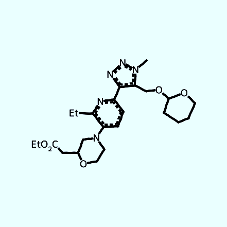 CCOC(=O)CC1CN(c2ccc(-c3nnn(C)c3COC3CCCCO3)nc2CC)CCO1